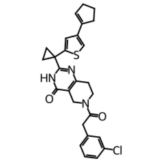 O=C(Cc1cccc(Cl)c1)N1CCc2nc(C3(c4cc(C5=CCCC5)cs4)CC3)[nH]c(=O)c2C1